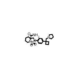 NC(=O)[C@]12[CH]CCCN1S(=O)(=O)N(c1ccc(C3(CN4CCCC4)CCC3)cc1)C2